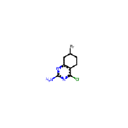 CC(C)C1CCc2c(Cl)nc(N)nc2C1